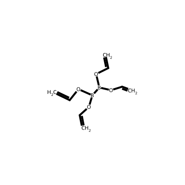 C=COB(OC=C)B(OC=C)OC=C